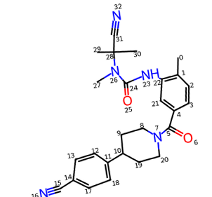 Cc1ccc(C(=O)N2CCC(c3ccc(C#N)cc3)CC2)cc1NC(=O)N(C)C(C)(C)C#N